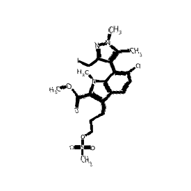 COC(=O)c1c(CCCOS(C)(=O)=O)c2ccc(Cl)c(-c3c(CI)nn(C)c3C)c2n1C